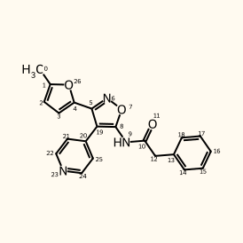 Cc1ccc(-c2noc(NC(=O)Cc3ccccc3)c2-c2ccncc2)o1